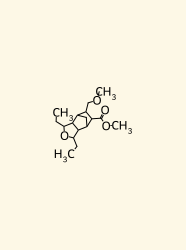 CCC1OC(CC)C2C3CC(C(COC)C3C(=O)OC)C12